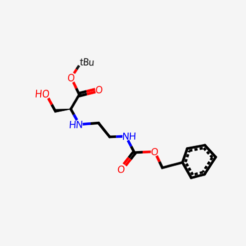 CC(C)(C)OC(=O)[C@H](CO)NCCNC(=O)OCc1ccccc1